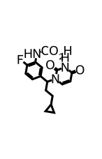 O=C(O)Nc1cc(C(CCC2CC2)n2ccc(=O)[nH]c2=O)ccc1F